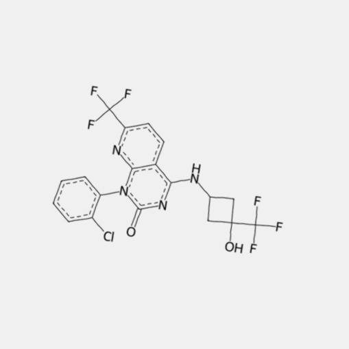 O=c1nc(NC2CC(O)(C(F)(F)F)C2)c2ccc(C(F)(F)F)nc2n1-c1ccccc1Cl